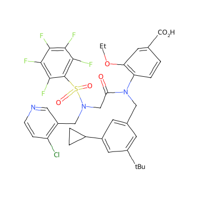 CCOc1cc(C(=O)O)ccc1N(Cc1cc(C2CC2)cc(C(C)(C)C)c1)C(=O)CN(Cc1cnccc1Cl)S(=O)(=O)c1c(F)c(F)c(F)c(F)c1F